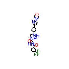 C[C@H](CC(=N)C1CCC(c2ccc(N3CCOCC3)nc2)CC1)NC(=O)CNC(=O)c1cccc(C(F)(F)F)c1